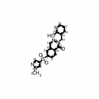 Cn1cc(S(=O)(=O)c2ccc3c(=O)n(Cc4cccnc4O)ncc3c2)cn1